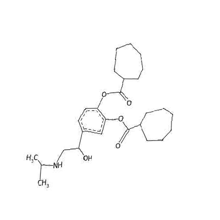 CC(C)NCC(O)c1ccc(OC(=O)C2CCCCCC2)c(OC(=O)C2CCCCCC2)c1